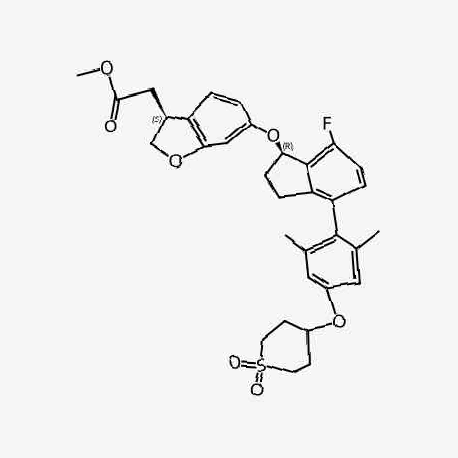 COC(=O)C[C@@H]1COc2cc(O[C@@H]3CCc4c(-c5c(C)cc(OC6CCS(=O)(=O)CC6)cc5C)ccc(F)c43)ccc21